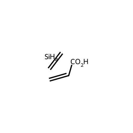 C=C.C=CC(=O)O.[SiH4]